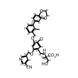 Cc1c(COc2cc(OCc3cncc(C#N)c3)c(CN[C@](C)(CO)C(=O)O)cc2Cl)cccc1-c1ccc2c(c1)OCCO2